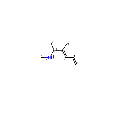 C=C/C=C(\C)B(C)NC